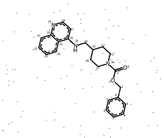 O=C(OCc1ccccc1)N1CCC(CNc2ccnc3ccccc23)CC1